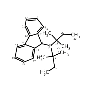 CCC(C)(C)P(C1c2ccccc2-c2ccccc21)C(C)(C)CC